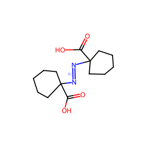 O=C(O)C1(/N=N/C2(C(=O)O)CCCCC2)CCCCC1